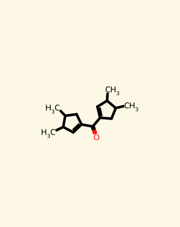 CC1C=C(C(=O)C2=CC(C)C(C)C2)CC1C